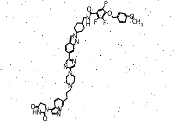 COc1ccc(COc2c(F)cc(C(=O)NCC3CCC(n4cc5ccc(-c6cnc(N7CCN(CCCc8ccc9c(N%10CCC(=O)NC%10=O)cnn9c8)CC7)cn6)cc5n4)CC3)c(F)c2F)cc1